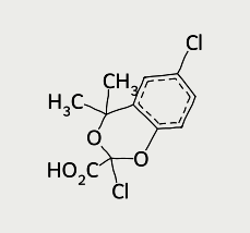 CC1(C)OC(Cl)(C(=O)O)Oc2ccc(Cl)cc21